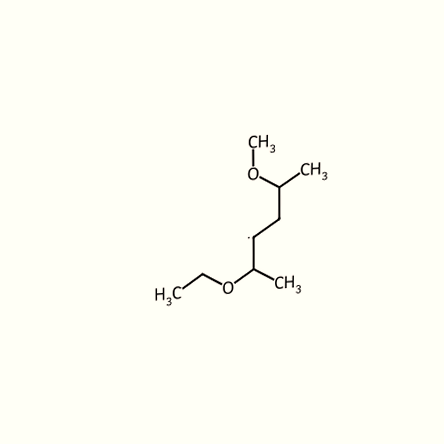 CCOC(C)[CH]CC(C)OC